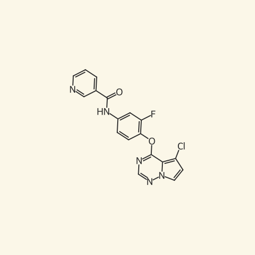 O=C(Nc1ccc(Oc2ncnn3ccc(Cl)c23)c(F)c1)c1cccnc1